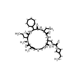 CCCC1C(=O)NC(C2CCCCCC2)C(=O)NC(CN)C(=O)NC(CNC(=O)N2CC(CN)C2)C(=O)NCO/C=C(/C)C(=O)N1C